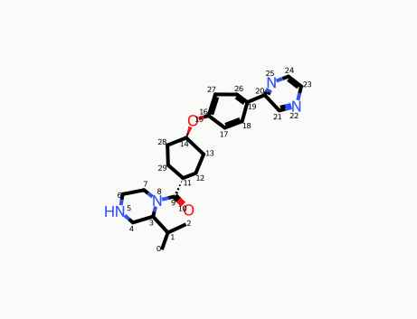 CC(C)C1CNCCN1C(=O)[C@H]1CC[C@H](Oc2ccc(-c3cnccn3)cc2)CC1